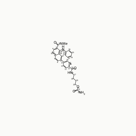 CNC(=O)c1cnc2ccc(-c3ccc(C(=O)NCCCCOC(N)=O)nc3)cc2c1Nc1ccccc1